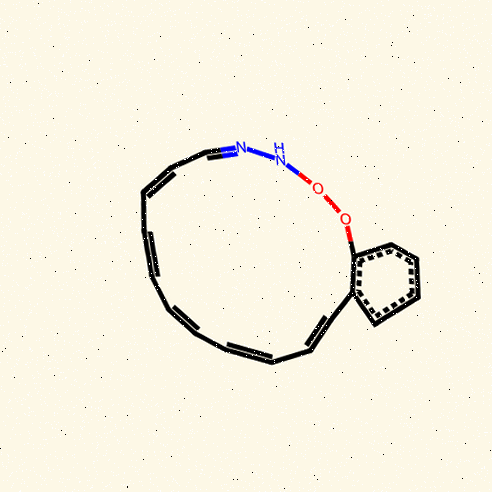 C1=CC=CC=Cc2ccccc2OONN=CC=CC=C1